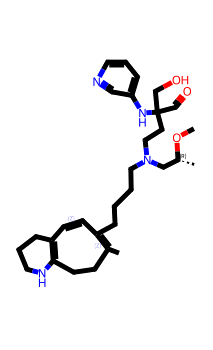 CO[C@H](C)CN(CCCCC1=C(\C)CCC2=C(/C=C\1)CCCN2)CCC(C=O)(CO)Nc1cccnc1